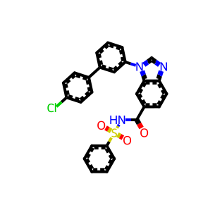 O=C(NS(=O)(=O)c1ccccc1)c1ccc2ncn(-c3cccc(-c4ccc(Cl)cc4)c3)c2c1